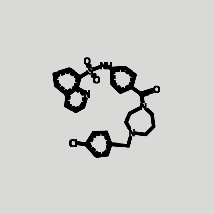 O=C(c1ccc(NS(=O)(=O)c2cccc3cccnc23)cc1)N1CCCN(Cc2ccc(Cl)cc2)CC1